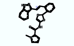 Cn1cccc1C(=O)NC1=COC(c2ccccc2/C=C/c2n[nH]c3ccccc23)O1